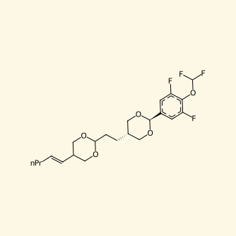 CCC/C=C/C1COC(CC[C@H]2CO[C@H](c3cc(F)c(OC(F)F)c(F)c3)OC2)OC1